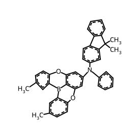 Cc1ccc2c(c1)B1c3cc(C)ccc3Oc3cc(N(c4ccccc4)c4ccc5c(c4)C(C)(C)c4ccccc4-5)cc(c31)O2